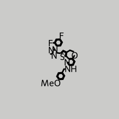 COc1ccc(CNc2ccc3c(n2)-c2sc(-c4ncnn4-c4ccc(F)cc4F)cc2CCO3)cc1